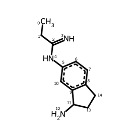 CCC(=N)Nc1ccc2c(c1)C(N)CC2